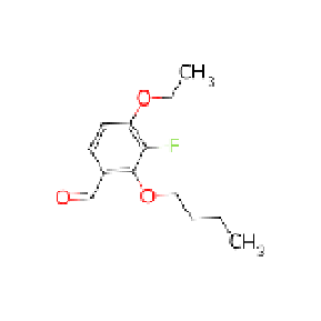 CCCCOc1c(C=O)ccc(OCC)c1F